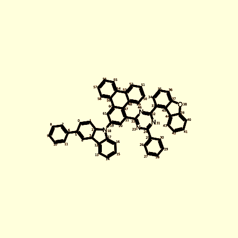 C1=CC2C(C=C1c1ccccc1)c1ccccc1N2c1cc(-c2nc(-c3ccccc3)nc(-c3cccc4oc5ccccc5c34)n2)c2c3ccccc3c3ccccc3c2c1